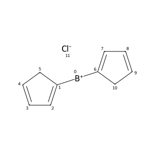 [B+](C1=CC=CC1)C1=CC=CC1.[Cl-]